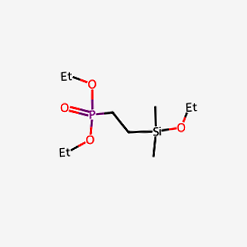 CCO[Si](C)(C)CCP(=O)(OCC)OCC